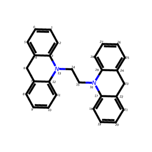 c1ccc2c(c1)Cc1ccccc1N2CCN1c2ccccc2Cc2ccccc21